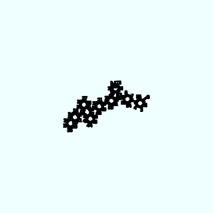 Cc1cccc(-c2ccc(-n3c4ccncc4c4cc(-c5ccc(-c6c7ccccc7c(-c7ccc8ccccc8c7)c7ccccc67)cc5)ccc43)cc2)c1